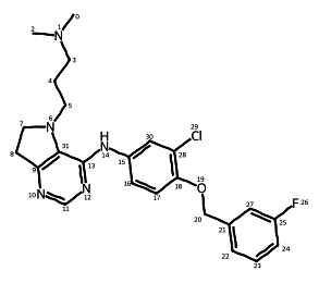 CN(C)CCCN1CCc2ncnc(Nc3ccc(OCc4cccc(F)c4)c(Cl)c3)c21